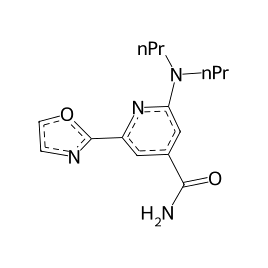 CCCN(CCC)c1cc(C(N)=O)cc(-c2ncco2)n1